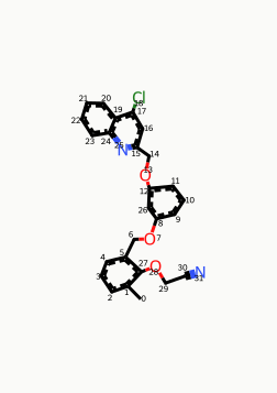 Cc1cccc(COc2cccc(OCc3cc(Cl)c4ccccc4n3)c2)c1OCC#N